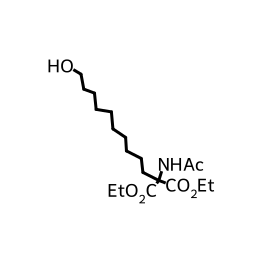 CCOC(=O)C(CCCCCCCCCCO)(NC(C)=O)C(=O)OCC